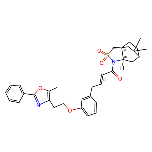 Cc1oc(-c2ccccc2)nc1CCOc1cccc(C/C=C/C(=O)N2[C@@H]3CC4CC[C@@]3(CC4(C)C)CS2(=O)=O)c1